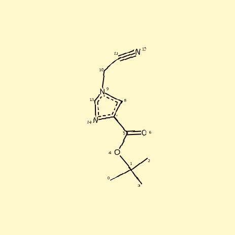 CC(C)(C)OC(=O)c1cn(CC#N)cn1